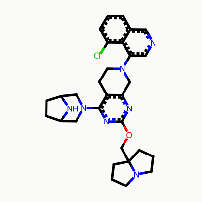 Clc1cccc2cncc(N3CCc4c(nc(OCC56CCCN5CCC6)nc4N4CC5CCC(C4)N5)C3)c12